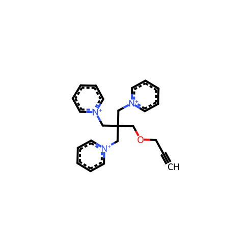 C#CCOCC(C[n+]1ccccc1)(C[n+]1ccccc1)C[n+]1ccccc1